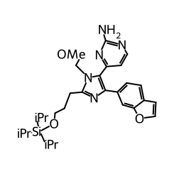 COCn1c(CCCO[Si](C(C)C)(C(C)C)C(C)C)nc(-c2ccc3ccoc3c2)c1-c1ccnc(N)n1